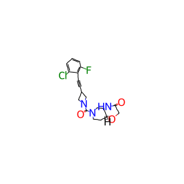 O=C1CO[C@H]2CCN(C(=O)N3CC(C#Cc4c(F)cccc4Cl)C3)CC2N1